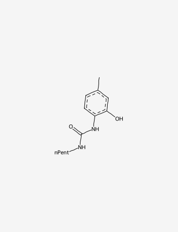 CCCCCNC(=O)Nc1ccc(C)cc1O